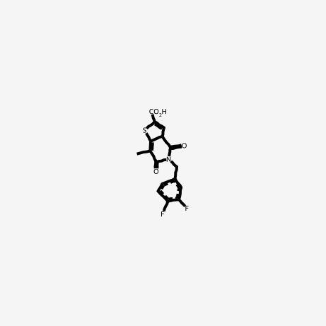 CC1=C2SC(C(=O)O)=CC2C(=O)N(Cc2ccc(F)c(F)c2)C1=O